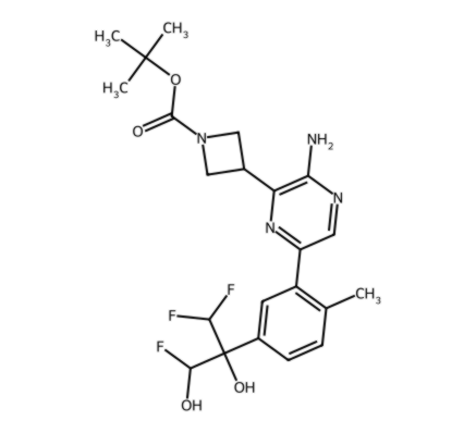 Cc1ccc(C(O)(C(O)F)C(F)F)cc1-c1cnc(N)c(C2CN(C(=O)OC(C)(C)C)C2)n1